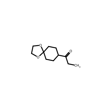 CCC(=O)C1CCC2(CC1)OCCO2